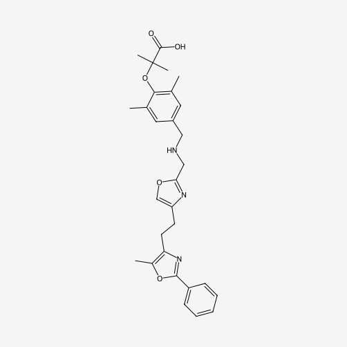 Cc1cc(CNCc2nc(CCc3nc(-c4ccccc4)oc3C)co2)cc(C)c1OC(C)(C)C(=O)O